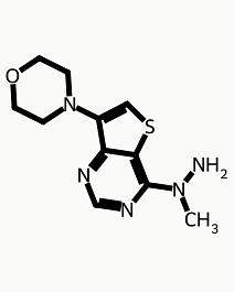 CN(N)c1ncnc2c(N3CCOCC3)csc12